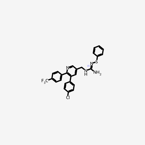 N/C(=N\Sc1ccccc1)NCc1cnc(-c2ccc(C(F)(F)F)cc2)c(-c2ccc(Cl)cc2)c1